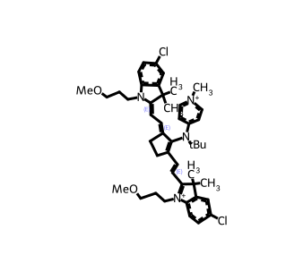 COCCCN1/C(=C/C=C2\CCC(/C=C/C3=[N+](CCCOC)c4ccc(Cl)cc4C3(C)C)=C2N(c2cc[n+](C)cc2)C(C)(C)C)C(C)(C)c2cc(Cl)ccc21